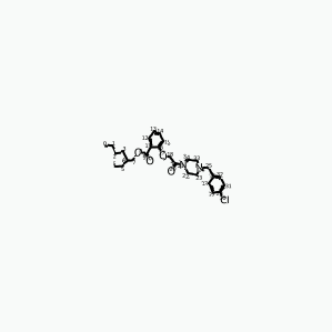 CCCCC(CC)COC(=O)c1ccccc1OCC(=O)N1CCN(Cc2ccc(Cl)cc2)CC1